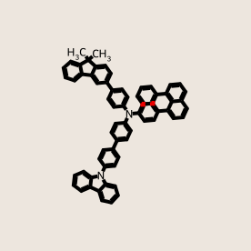 CC1(C)c2ccccc2-c2cc(-c3ccc(N(c4ccc(-c5ccc(-n6c7ccccc7c7ccccc76)cc5)cc4)c4ccc(-c5cccc6cccc(-c7ccccc7)c56)cc4)cc3)ccc21